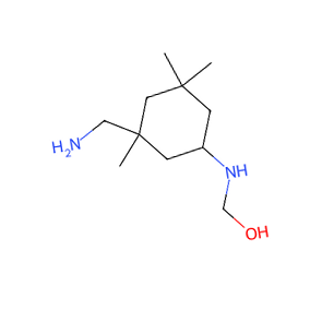 CC1(C)CC(NCO)CC(C)(CN)C1